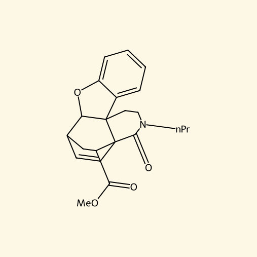 CCCN1CCC23c4ccccc4OC2C2C=CC3(C1=O)C(C(=O)OC)C2